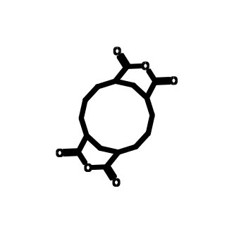 O=C1OC(=O)C2CCCC3CC(CCCC1C2)C(=O)OC3=O